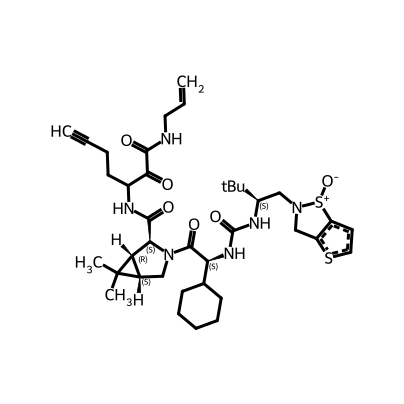 C#CCCC(NC(=O)[C@@H]1[C@@H]2[C@H](CN1C(=O)[C@@H](NC(=O)N[C@H](CN1Cc3sccc3[S+]1[O-])C(C)(C)C)C1CCCCC1)C2(C)C)C(=O)C(=O)NCC=C